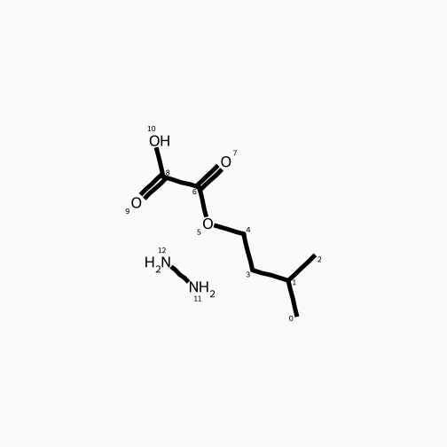 CC(C)CCOC(=O)C(=O)O.NN